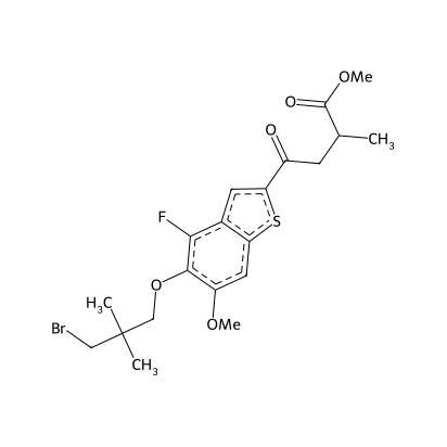 COC(=O)C(C)CC(=O)c1cc2c(F)c(OCC(C)(C)CBr)c(OC)cc2s1